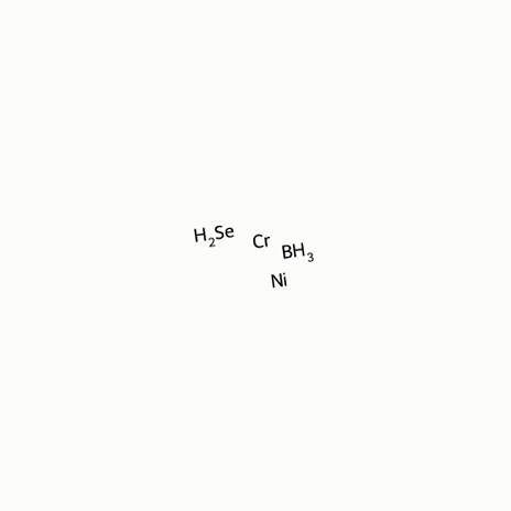 B.[Cr].[Ni].[SeH2]